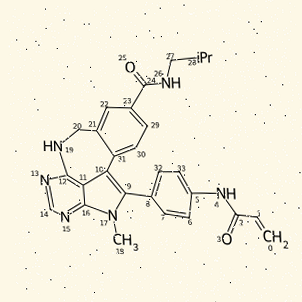 C=CC(=O)Nc1ccc(-c2c3c4c(ncnc4n2C)NCc2cc(C(=O)NCC(C)C)ccc2-3)cc1